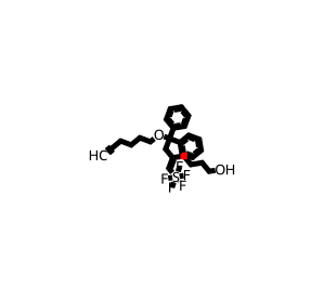 C#CCCCCOC(C/C(=C/S(F)(F)(F)(F)F)CCCCO)(c1ccccc1)c1ccccc1